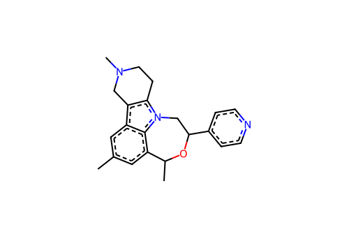 Cc1cc2c3c(c1)c1c(n3CC(c3ccncc3)OC2C)CCN(C)C1